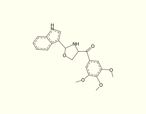 COc1cc(C(=O)C2COC(c3c[nH]c4ccccc34)N2)cc(OC)c1OC